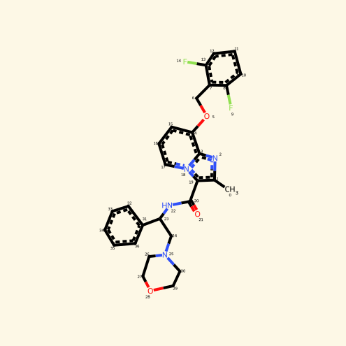 Cc1nc2c(OCc3c(F)cccc3F)cccn2c1C(=O)NC(CN1CCOCC1)c1ccccc1